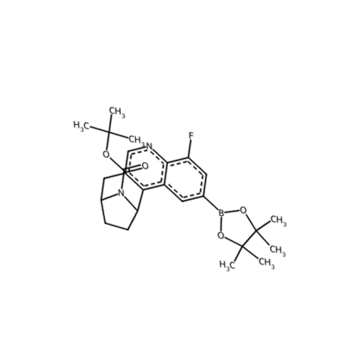 CC(C)(C)OC(=O)N1C2CCC1c1c(cnc3c(F)cc(B4OC(C)(C)C(C)(C)O4)cc13)C2